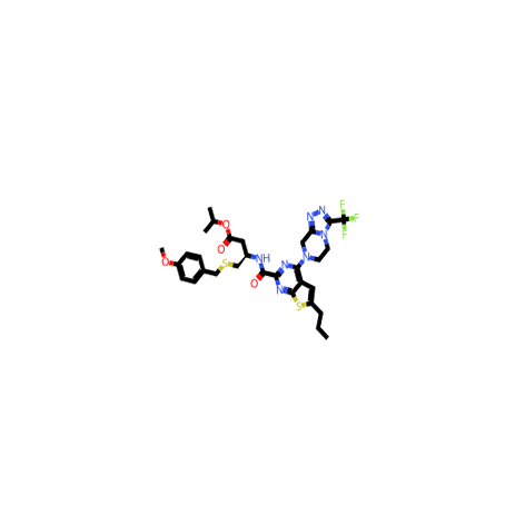 CCCc1cc2c(N3CCn4c(nnc4C(F)(F)F)C3)nc(C(=O)N[C@@H](CSCc3ccc(OC)cc3)CC(=O)OC(C)C)nc2s1